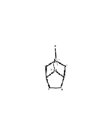 IN1CC2CCC(C1)N2I